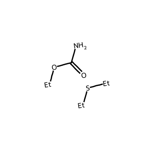 CCOC(N)=O.CCSCC